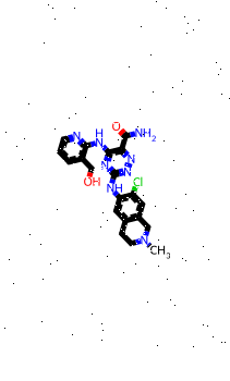 CN1CCc2cc(Nc3nnc(C(N)=O)c(Nc4ncccc4CO)n3)c(Cl)cc2C1